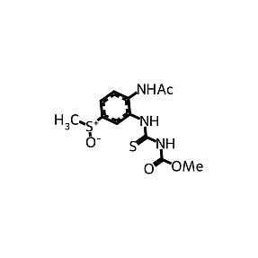 COC(=O)NC(=S)Nc1cc([S+](C)[O-])ccc1NC(C)=O